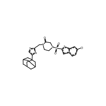 O=C1CN(S(=O)(=O)c2cc3ccc(Cl)cc3s2)CCN1Cc1nc(C23CC4CC(CC(C4)C2)C3)cs1